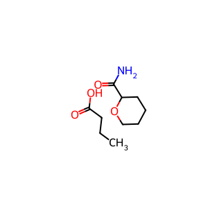 CCCC(=O)O.NC(=O)C1CCCCO1